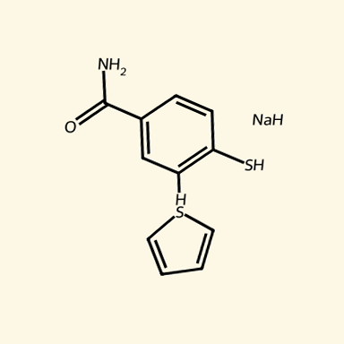 NC(=O)c1ccc(S)c([SH]2C=CC=C2)c1.[NaH]